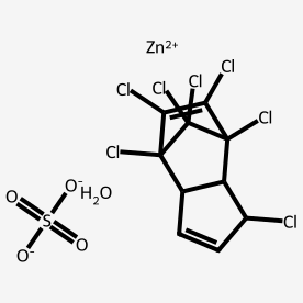 ClC1=C(Cl)C2(Cl)C3C(Cl)C=CC3C1(Cl)C2(Cl)Cl.O.O=S(=O)([O-])[O-].[Zn+2]